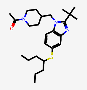 CCCC(CCC)Sc1ccc2c(c1)nc(C(C)(C)C)n2CC1CCN(C(C)=O)CC1